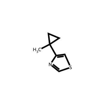 CC1(c2cscn2)CC1